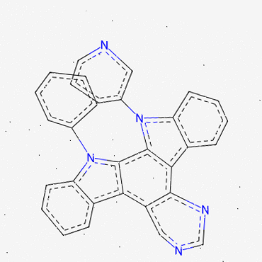 c1ccc(-n2c3ccccc3c3c4cncnc4c4c5ccccc5n(-c5cccnc5)c4c32)cc1